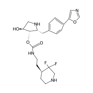 O=C(NCC[C@@H]1CCNCC1(F)F)O[C@@H]1[C@@H](O)CN[C@@H]1Cc1ccc(-c2cnco2)cc1